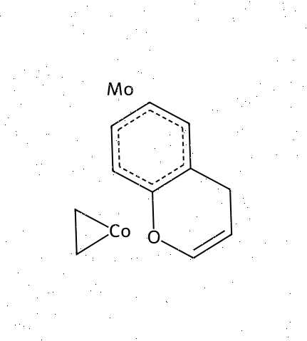 C1=COc2ccccc2C1.[CH2]1[CH2][Co]1.[Mo]